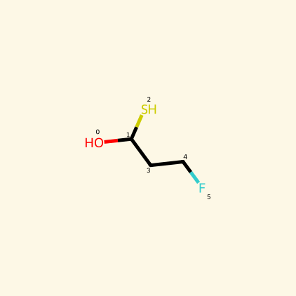 OC(S)CCF